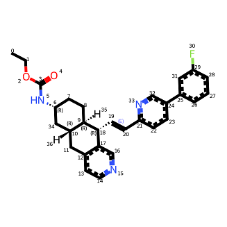 CCOC(=O)N[C@@H]1CC[C@@H]2[C@H](Cc3ccncc3[C@H]2/C=C/c2ccc(-c3cccc(F)c3)cn2)C1